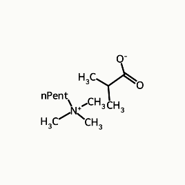 CC(C)C(=O)[O-].CCCCC[N+](C)(C)C